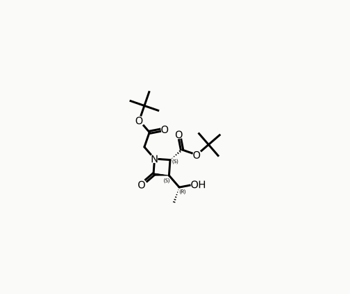 C[C@@H](O)[C@H]1C(=O)N(CC(=O)OC(C)(C)C)[C@@H]1C(=O)OC(C)(C)C